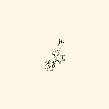 CN(C)CCn1ccc2c(B3OC(C)(C)C(C)(C)O3)cccc21